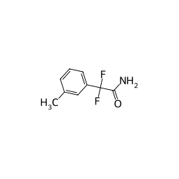 Cc1cccc(C(F)(F)C(N)=O)c1